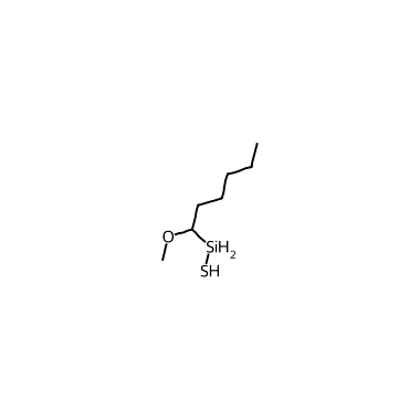 CCCCCC(OC)[SiH2]S